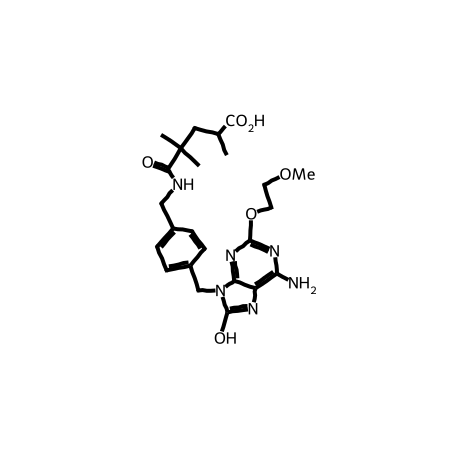 COCCOc1nc(N)c2nc(O)n(Cc3ccc(CNC(=O)C(C)(C)CC(C)C(=O)O)cc3)c2n1